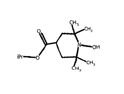 CC(C)OC(=O)C1CC(C)(C)N(O)C(C)(C)C1